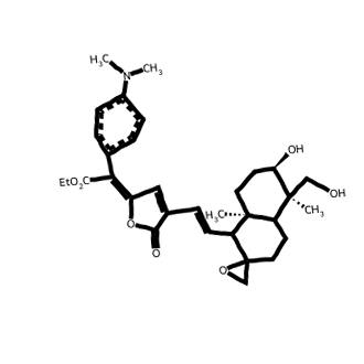 CCOC(=O)/C(=C1C=C(/C=C/C2C3(CCC4[C@]2(C)CC[C@@H](O)[C@@]4(C)CO)CO3)C(=O)O/1)c1ccc(N(C)C)cc1